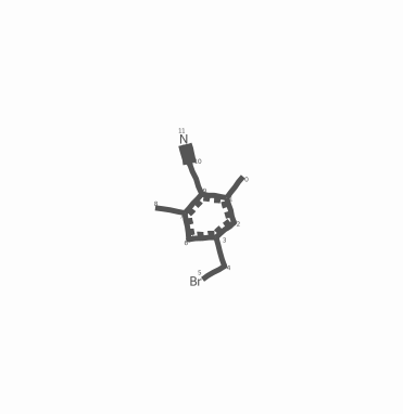 Cc1cc(CBr)cc(C)c1C#N